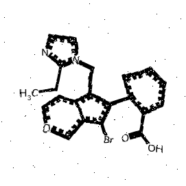 CCc1nccn1Cc1c2ccocc-2c(Br)c1-c1ccccc1C(=O)O